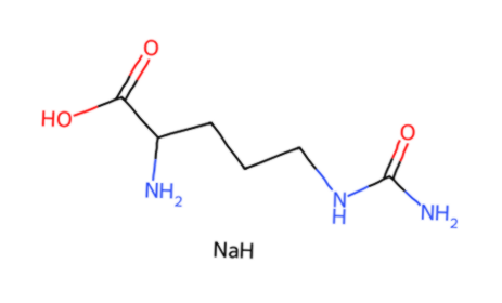 NC(=O)NCCCC(N)C(=O)O.[NaH]